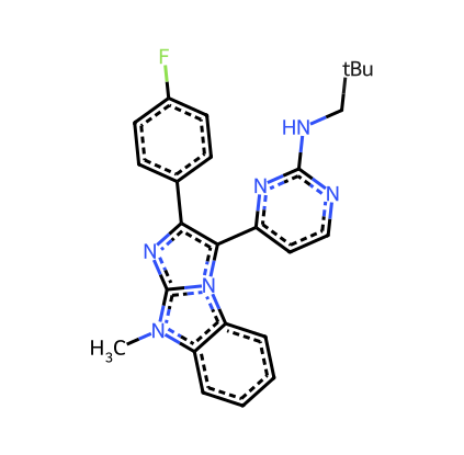 Cn1c2ccccc2n2c(-c3ccnc(NCC(C)(C)C)n3)c(-c3ccc(F)cc3)nc12